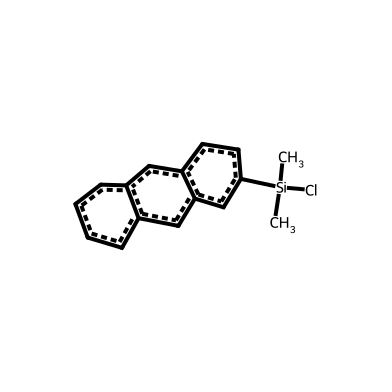 C[Si](C)(Cl)c1ccc2cc3ccccc3cc2c1